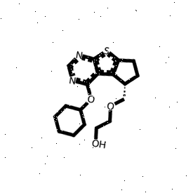 OCCOC[C@H]1CCc2sc3ncnc(OC4CCCCC4)c3c21